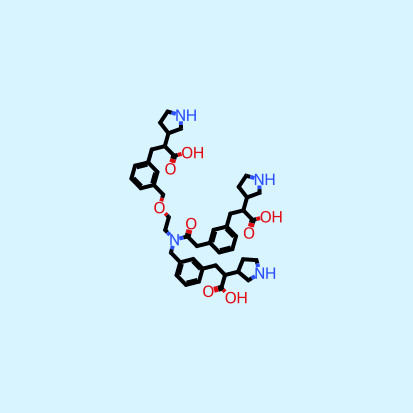 O=C(O)C(Cc1cccc(COCCN(Cc2cccc(CC(C(=O)O)C3CCNC3)c2)C(=O)Cc2cccc(CC(C(=O)O)C3CCNC3)c2)c1)C1CCNC1